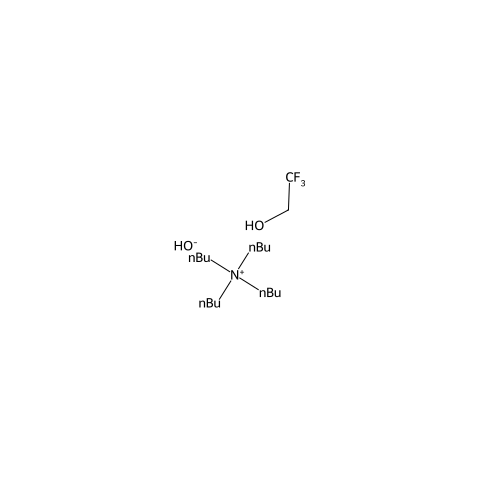 CCCC[N+](CCCC)(CCCC)CCCC.OCC(F)(F)F.[OH-]